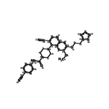 COc1cc2c(N3CCN(C(=O)Nc4ccc(C#N)cc4)CC3)c(C#N)cnc2cc1OCCn1ncnn1